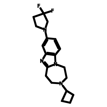 FC1(F)CCN(c2ccc3c(c2)nc2n3CCN(C3CCC3)CC2)C1